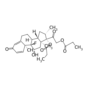 CCC(=O)OCC(=O)[C@]1(OC(=O)CC)[C@@H](C)C[C@H]2[C@@H]3CCC4=CC(=O)C=C[C@]4(C)[C@@]3(F)[C@@H](O)C[C@@]21C